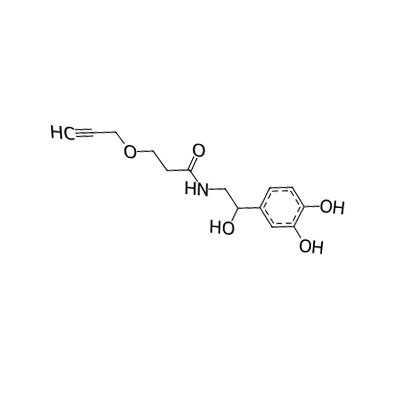 C#CCOCCC(=O)NCC(O)c1ccc(O)c(O)c1